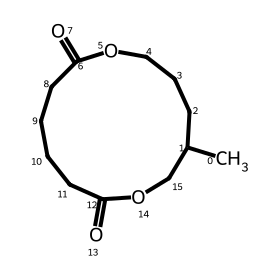 CC1CCCOC(=O)CCCCC(=O)OC1